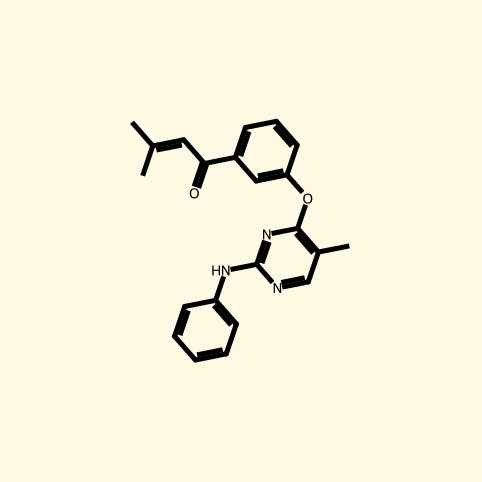 CC(C)=CC(=O)c1cccc(Oc2nc(Nc3ccccc3)ncc2C)c1